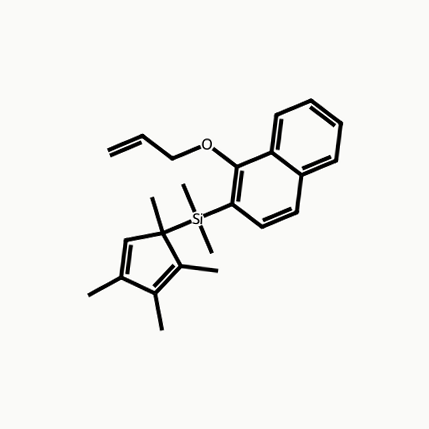 C=CCOc1c([Si](C)(C)C2(C)C=C(C)C(C)=C2C)ccc2ccccc12